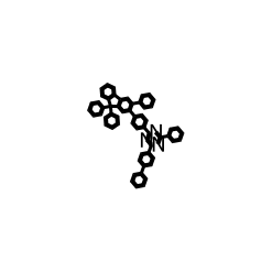 c1ccc(-c2ccc(-c3nc(-c4ccccc4)nc(-c4ccc(-c5cc6c(cc5-c5ccccc5)-c5ccccc5C6(c5ccccc5)c5ccccc5)cc4)n3)cc2)cc1